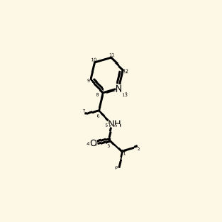 CC(C)C(=O)NC(C)C1=CCCC=N1